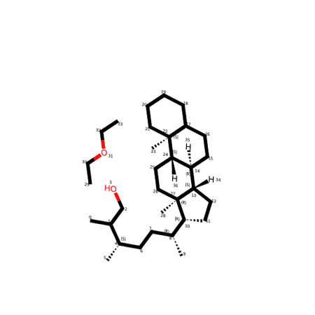 CC(CO)[C@@H](C)CC[C@@H](C)[C@H]1CC[C@H]2[C@@H]3CCC4CCCC[C@]4(C)[C@H]3CC[C@]12C.CCOCC